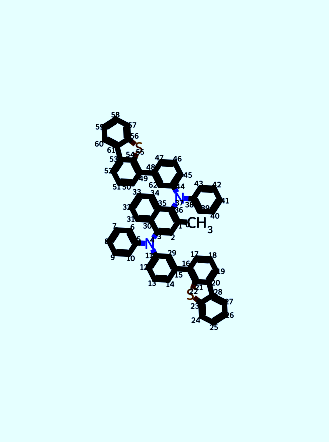 Cc1cc(N(c2ccccc2)c2cccc(-c3cccc4c3sc3ccccc34)c2)c2ccccc2c1N(c1ccccc1)c1cccc(-c2cccc3c2sc2ccccc23)c1